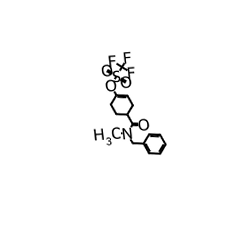 CN(Cc1ccccc1)C(=O)C1CC=C(OS(=O)(=O)C(F)(F)F)CC1